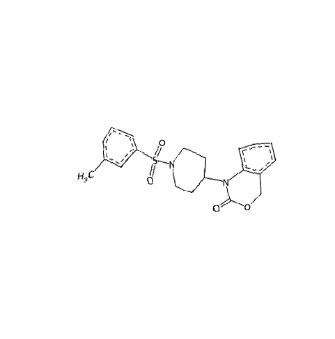 Cc1cccc(S(=O)(=O)N2CCC(N3C(=O)OCc4ccccc43)CC2)c1